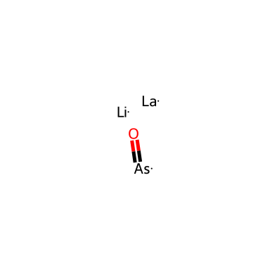 O=[As].[La].[Li]